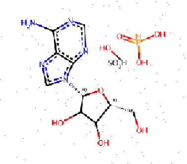 Nc1ncnc2c1ncn2[C@@H]1O[C@H](CO)C(O)C1O.O=S(=O)(O)O.O=[PH](O)O